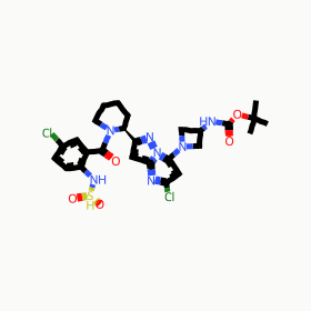 CC(C)(C)OC(=O)NC1CN(c2cc(Cl)nc3cc([C@@H]4CCCCN4C(=O)c4cc(Cl)ccc4N[SH](=O)=O)nn23)C1